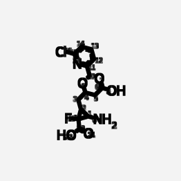 NC1C(CC(CC(=O)O)OCc2cccc(Cl)n2)C1(F)C(=O)O